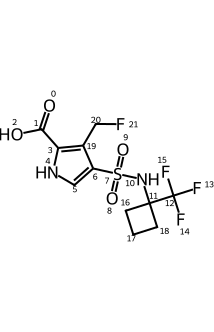 O=C(O)c1[nH]cc(S(=O)(=O)NC2(C(F)(F)F)CCC2)c1CF